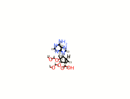 COCO[C@@H]1C(C)(OCOC)[C@H](n2cnc3c(N)ncnc32)[C@H]2C[C@]21C(=O)O